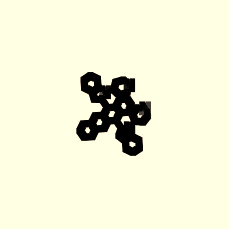 c1ccc2cc3c(-c4cc5ccccc5n4-c4ccncc4)c4ccccc4c(-c4cc5ccccc5n4-c4ccncc4)c3cc2c1